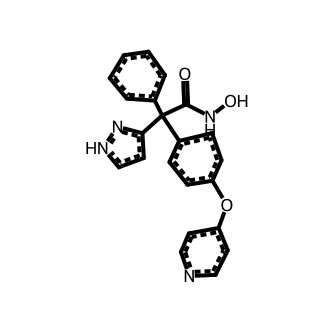 O=C(NO)C(c1ccccc1)(c1ccc(Oc2ccncc2)cc1)c1cc[nH]n1